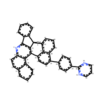 CC12c3ccccc3-c3nc4ccc5ccccc5c4c(c31)-c1ccc(-c3ccc(-c4ncccn4)cc3)c3cccc2c13